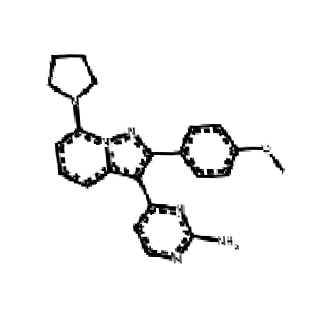 COc1ccc(-c2nn3c(N4CCCC4)cccc3c2-c2ccnc(N)n2)cc1